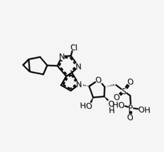 O=P(O)(O)CS(=O)(=O)C[C@H]1O[C@@H](n2ccc3c(C4CC5CC5C4)nc(Cl)nc32)[C@H](O)[C@@H]1O